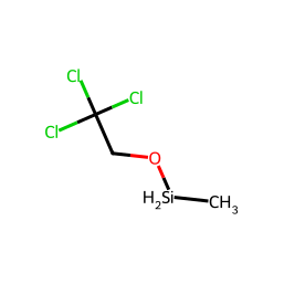 C[SiH2]OCC(Cl)(Cl)Cl